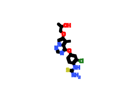 Cc1c(OCC(C)O)cn2ncnc(Oc3ccc(NC(N)=S)c(Cl)c3)c12